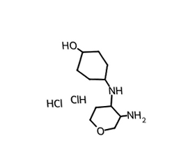 Cl.Cl.NC1COCCC1NC1CCC(O)CC1